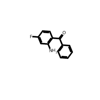 Nc1cc(F)ccc1C(=O)c1ccccc1